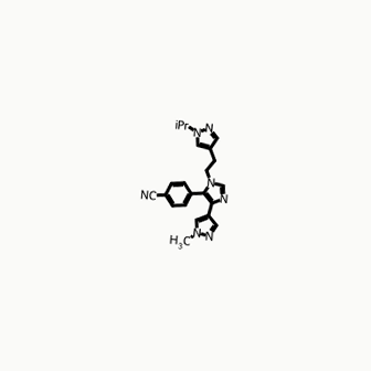 CC(C)n1cc(CCn2cnc(-c3cnn(C)c3)c2-c2ccc(C#N)cc2)cn1